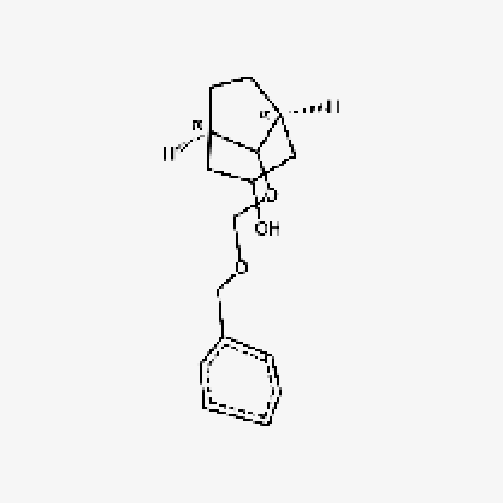 OC1C[C@H]2CC[C@@H](C1)C2OCOCc1ccccc1